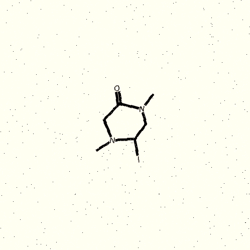 CN1CC(I)N(C)CC1=O